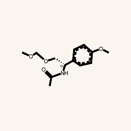 COCOC[C@@H](NC(C)=O)c1ccc(OC)cc1